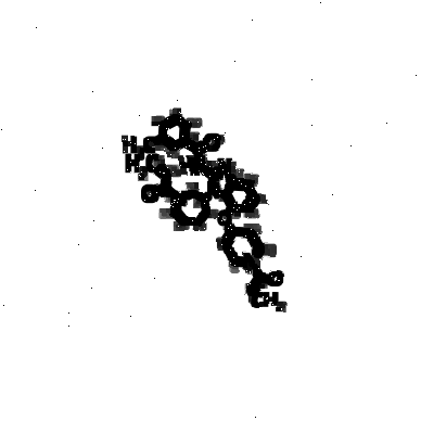 C=CC(=O)N1CCC(Oc2cccc3nc(NC(=O)c4cccc(C)c4)n(C4CCCCN(C(=O)C=C)C4)c23)CC1